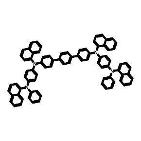 c1ccc(N(c2ccc(N(c3ccc(-c4ccc(-c5ccc(N(c6ccc(N(c7ccccc7)c7cccc8ccccc78)cc6)c6cccc7ccccc67)cc5)cc4)cc3)c3cccc4ccccc34)cc2)c2cccc3ccccc23)cc1